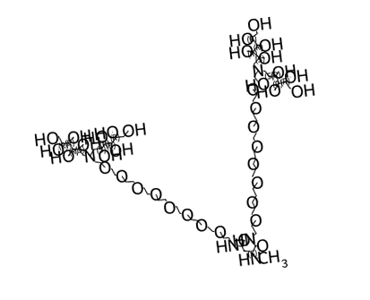 CN[C@@H](CC(=O)NCCOCCOCCOCCOCCOCCOCCOCCOCCN(C[C@H](O)[C@@H](O)[C@H](O)[C@H](O)CO)C[C@H](O)[C@@H](O)[C@H](O)[C@H](O)CO)C(=O)NCCOCCOCCOCCOCCOCCOCCOCCOCCN(C[C@H](O)[C@@H](O)[C@H](O)[C@H](O)CO)C[C@H](O)[C@@H](O)[C@H](O)[C@H](O)CO